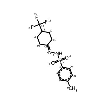 Cc1ccc(S(=O)(=O)NN=C2CCC(C(F)(F)F)CC2)cc1